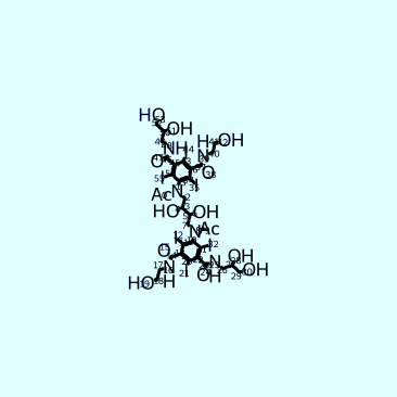 CC(=O)N(CC(O)C(O)CN(C(C)=O)c1c(I)c(C(=O)NCCO)c(I)c(C(=O)NCC(O)CO)c1I)c1c(I)c(C(=O)NCCO)c(I)c(C(=O)NCC(O)CO)c1I